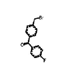 O=C(c1ccc(F)cc1)c1ccc(CBr)cc1